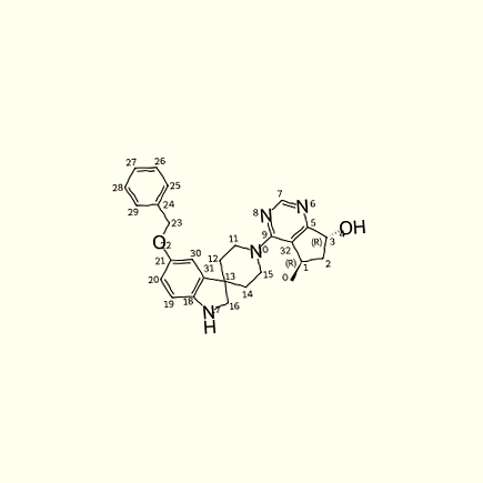 C[C@@H]1C[C@@H](O)c2ncnc(N3CCC4(CC3)CNc3ccc(OCc5ccccc5)cc34)c21